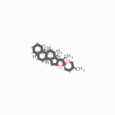 C[C@H]1CC[C@@]2(OC1)OC1CC3[C@@H]4CC[C@@H]5CCCC[C@]5(C)C4CC[C@]3(C)C1[C@@H]2C